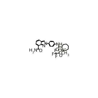 C[N+]1(OC(=O)C(F)(F)F)CCCCCC1C(=O)Nc1ccc(-n2cc3cccc(C(N)=O)c3n2)cc1